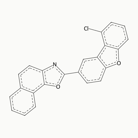 Clc1cccc2oc3ccc(-c4nc5ccc6ccccc6c5o4)cc3c12